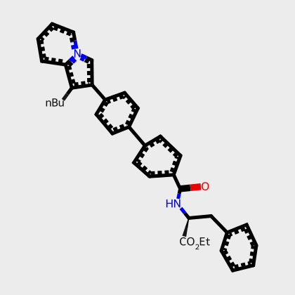 CCCCc1c(-c2ccc(-c3ccc(C(=O)N[C@@H](Cc4ccccc4)C(=O)OCC)cc3)cc2)cn2ccccc12